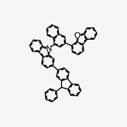 c1ccc(C2c3ccccc3-c3ccc(-c4ccc5c6ccccc6n(-c6cc(-c7cccc8c7oc7ccccc78)cc7ccccc67)c5c4)cc32)cc1